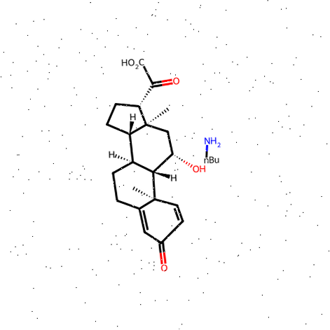 CCCCN.C[C@]12C[C@H](O)[C@H]3[C@@H](CCC4=CC(=O)C=C[C@@]43C)[C@@H]1CC[C@@H]2C(=O)C(=O)O